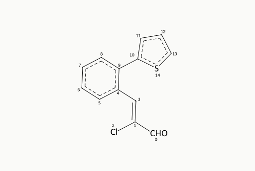 O=C/C(Cl)=C/c1ccccc1-c1cccs1